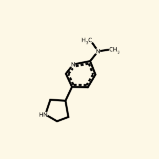 CN(C)c1ccc(C2CCNC2)cn1